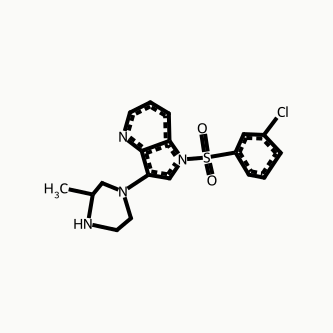 CC1CN(c2cn(S(=O)(=O)c3cccc(Cl)c3)c3cccnc23)CCN1